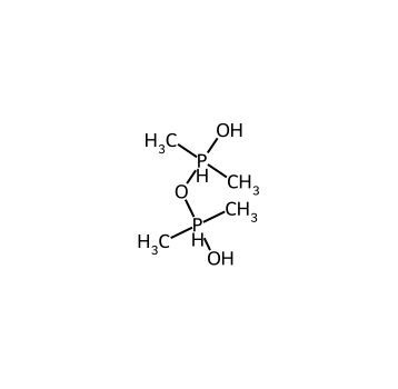 C[PH](C)(O)O[PH](C)(C)O